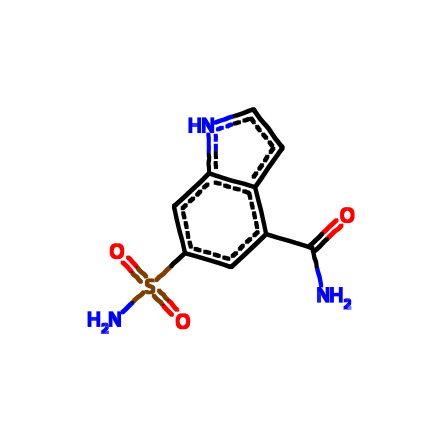 NC(=O)c1cc(S(N)(=O)=O)cc2[nH]ccc12